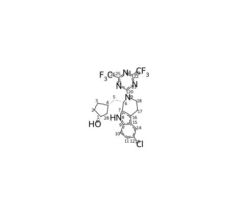 O[C@@H]1CC[C@H](C[C@H]2c3[nH]c4ccc(Cl)cc4c3CCN2c2nc(C(F)(F)F)nc(C(F)(F)F)n2)C1